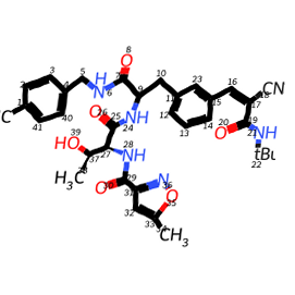 Cc1ccc(CNC(=O)C(Cc2cccc(C=C(C#N)C(=O)NC(C)(C)C)c2)NC(=O)[C@@H](NC(=O)c2cc(C)on2)[C@@H](C)O)cc1